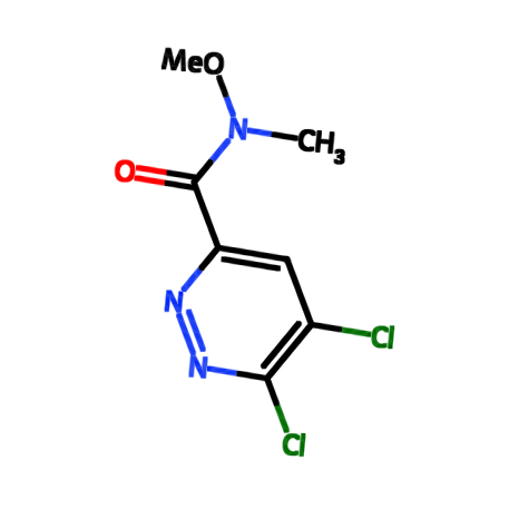 CON(C)C(=O)c1cc(Cl)c(Cl)nn1